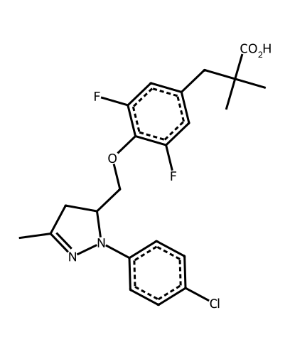 CC1=NN(c2ccc(Cl)cc2)C(COc2c(F)cc(CC(C)(C)C(=O)O)cc2F)C1